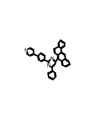 c1ccc(-c2cc(-c3c4ccccc4cc4c3ccc3ccccc34)nc(-c3ccc(-c4ccncc4)cc3)n2)cc1